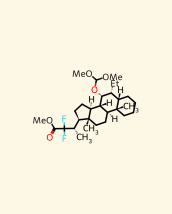 CC[C@H]1[C@@H](OC(OC)OC)[C@@H]2[C@H](CC[C@]3(C)[C@@H]([C@H](C)C(F)(F)C(=O)OC)CC[C@@H]23)[C@@]2(C)CCCC[C@@H]12